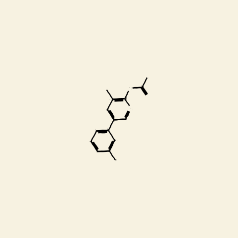 CC(=O)Nc1ncc(-c2cccc(C)c2)cc1C